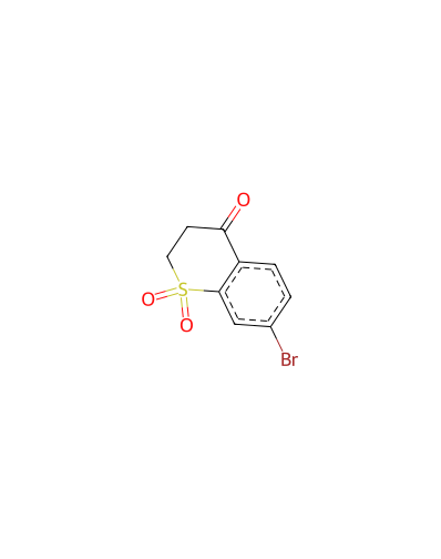 O=C1CCS(=O)(=O)c2cc(Br)ccc21